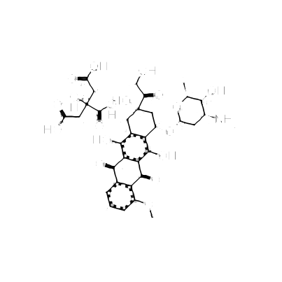 COc1cccc2c1C(=O)c1c(O)c3c(c(O)c1C2=O)C[C@@](O)(C(=O)CO)C[C@@H]3O[C@H]1C[C@H](N)[C@H](O)[C@H](C)O1.O=C(O)CC(O)(CC(=O)O)C(=O)O